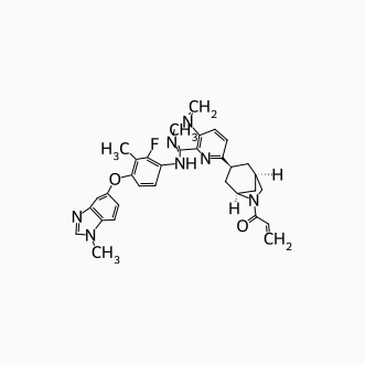 C=CC(=O)N1C[C@@H]2C[C@H](c3ccc(N=C)c(/C(=N\C)Nc4ccc(Oc5ccc6c(c5)ncn6C)c(C)c4F)n3)C[C@H]1C2